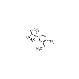 CCC(C)(C(N)=O)c1ccc(N)c(OC)c1